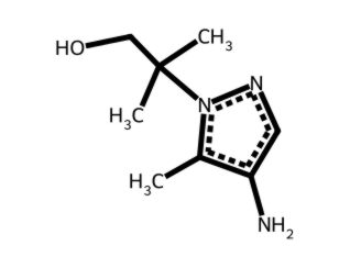 Cc1c(N)cnn1C(C)(C)CO